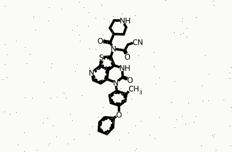 Cc1cc(Oc2ccccc2)ccc1N1C(=O)Nc2c(N(C(=O)CC#N)C(=O)C3CCNCC3)sc3nccc1c23